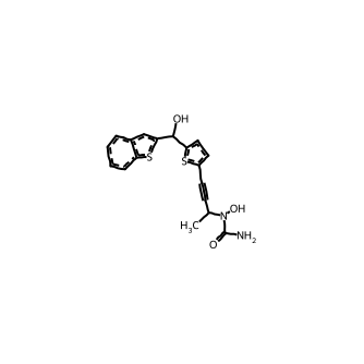 CC(C#Cc1ccc(C(O)c2cc3ccccc3s2)s1)N(O)C(N)=O